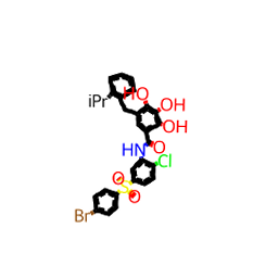 CC(C)c1ccccc1Cc1cc(C(=O)Nc2cc(S(=O)(=O)c3ccc(Br)cc3)ccc2Cl)c(O)c(O)c1O